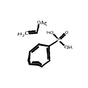 C=COC(C)=O.O=P(O)(O)c1ccccc1